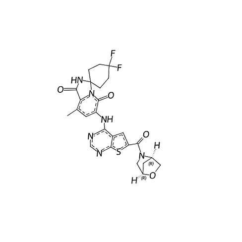 Cc1cc(Nc2ncnc3sc(C(=O)N4C[C@H]5C[C@@H]4CO5)cc23)c(=O)n2c1C(=O)NC21CCC(F)(F)CC1